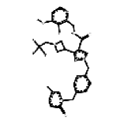 COc1ccnc(CNC(=O)c2cn(Cc3ccc(Cn4cc(F)ccc4=O)cc3)nc2C2CN(CC(F)(F)F)C2)c1F